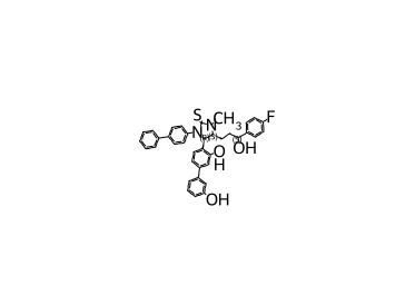 CN1C(=S)N(c2ccc(-c3ccccc3)cc2)[C@H](c2ccc(-c3cccc(O)c3)cc2O)[C@@H]1CC[C@H](O)c1ccc(F)cc1